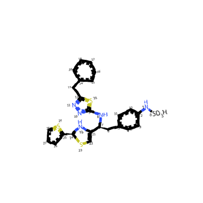 O=S(=O)(O)Nc1ccc(C[C@H](Nc2nnc(Cc3ccccc3)s2)C2=CS[C@@H](c3cccs3)N2)cc1